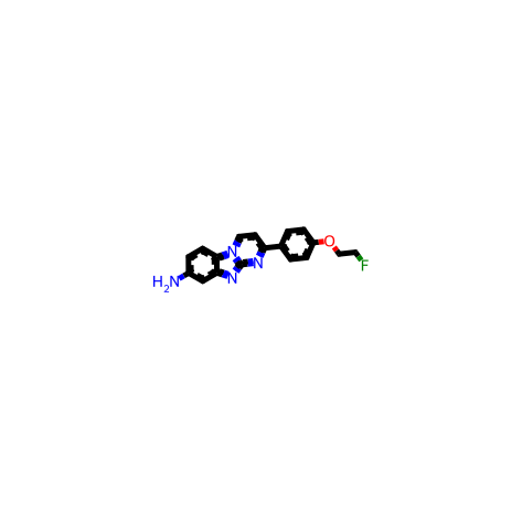 Nc1ccc2c(c1)nc1nc(-c3ccc(OCCF)cc3)ccn12